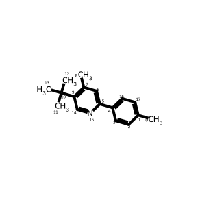 Cc1ccc(-c2cc(C)c(C(C)(C)C)cn2)cc1